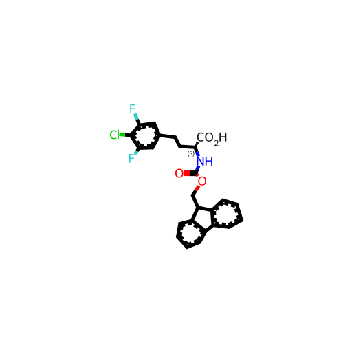 O=C(N[C@@H](CCc1cc(F)c(Cl)c(F)c1)C(=O)O)OCC1c2ccccc2-c2ccccc21